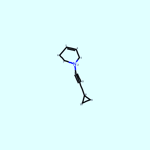 C(#CN1CC=CCC1)C1CC1